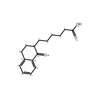 O=C(O)CCCCCC1CCc2ccccc2C1=O